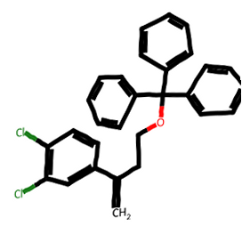 C=C(CCOC(c1ccccc1)(c1ccccc1)c1ccccc1)c1ccc(Cl)c(Cl)c1